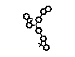 CC1(C)c2ccccc2-c2ccc(-c3ccc(N(c4ccc(-c5ccc6ccccc6c5)cc4)c4cccc5c4oc4ccccc45)cc3)cc21